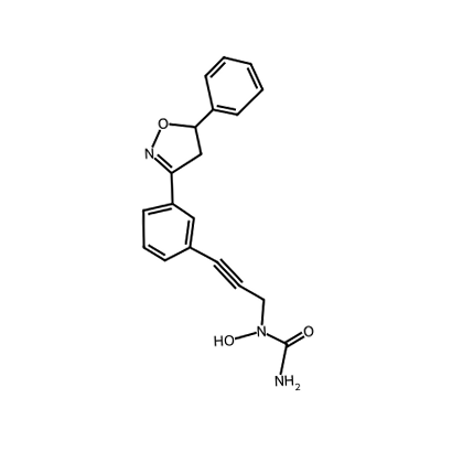 NC(=O)N(O)CC#Cc1cccc(C2=NOC(c3ccccc3)C2)c1